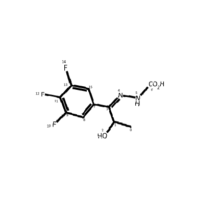 CC(O)C(=NNC(=O)O)c1cc(F)c(F)c(F)c1